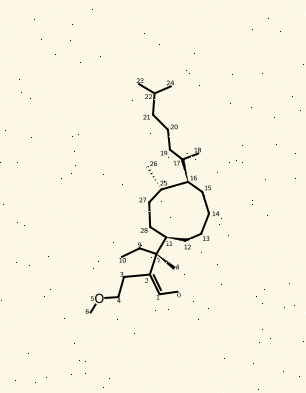 C/C=C(/CCOC)[C@](C)(CC)[C@@H]1CCCC[C@H](C(C)CCCC(C)C)[C@@H](C)CC1